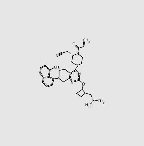 C=CC(=O)N1CCN(c2nc(O[C@@H]3CC[C@@H]3CN(C)C)nc3c2CCN(c2cccc4cccc(C)c24)C3)C[C@@H]1CC#N